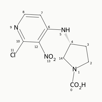 O=C(O)N1CC[C@@H](Nc2ccnc(Cl)c2[N+](=O)[O-])C1